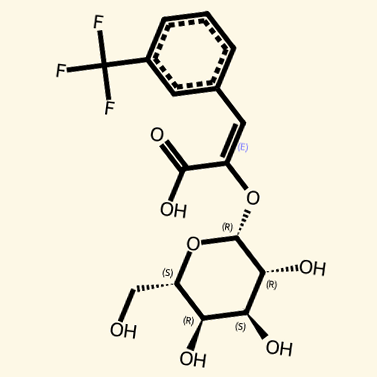 O=C(O)/C(=C\c1cccc(C(F)(F)F)c1)O[C@H]1O[C@@H](CO)[C@H](O)[C@H](O)[C@H]1O